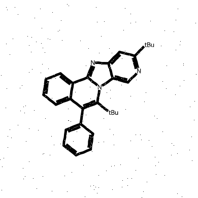 CC(C)(C)c1cc2nc3c4ccccc4c(-c4ccccc4)c(C(C)(C)C)n3c2cn1